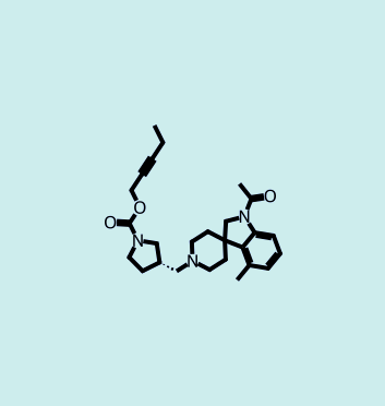 CCC#CCOC(=O)N1CC[C@@H](CN2CCC3(CC2)CN(C(C)=O)c2cccc(C)c23)C1